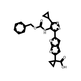 O=C(Nc1c(C2CC2)nsc1-c1cc2cc(C3(C(=O)O)CC3)oc2o1)OCc1ccccc1